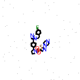 CN1CCN(c2ncc(S(=O)(=O)N3CCCC3c3ccc(-c4cncn4CCc4ccc(F)cc4)cc3)s2)CC1